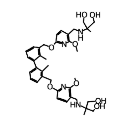 COc1nc(OCc2cccc(-c3cccc(COc4ccc(CNC(C)(CO)CO)c(OC)n4)c3C)c2C)ccc1CNC(C)(CO)CO